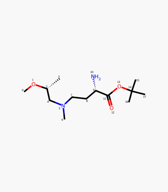 CO[C@H](C)CN(C)CC[C@H](N)C(=O)OC(C)(C)C